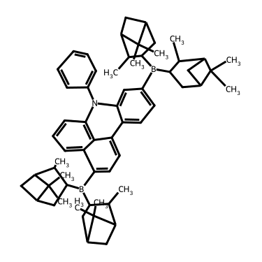 CC1C(B(c2ccc3c(c2)N(c2ccccc2)c2cccc4c(B(C5CC6CC(C5C)C6(C)C)C5CC6CC(C5C)C6(C)C)ccc-3c24)C2CC3CC(C2C)C3(C)C)CC2CC1C2(C)C